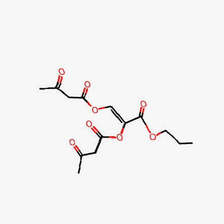 CCCOC(=O)C(=COC(=O)CC(C)=O)OC(=O)CC(C)=O